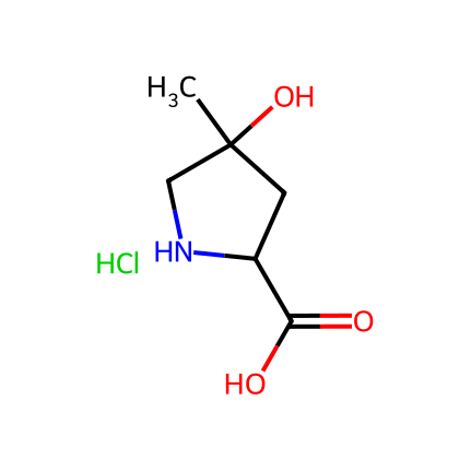 CC1(O)CNC(C(=O)O)C1.Cl